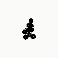 c1ccc(-c2nc(-c3ccccc3)nc(-c3c4ccccc4c(-c4cccc5c(-c6ccccc6)cccc45)c4sc5ccccc5c34)n2)cc1